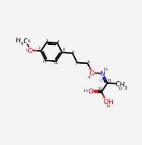 COc1ccc(CCCO/N=C(/C)C(=O)O)cc1